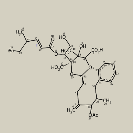 C=C(CC[C@@H]1OC(C(=O)O)C(O)(C(=O)O)[C@](C(=O)O)(C(CO)OC(=O)/C=C/C(C)CC(C)CC)O1)C(OC(C)=O)C(C)Cc1ccccc1